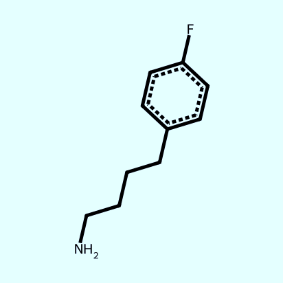 NCCCCc1ccc(F)cc1